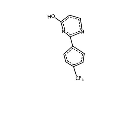 Oc1ccnc(-c2ccc(C(F)(F)F)cc2)n1